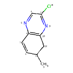 CC1C=Cc2ncc(Cl)nc2C1